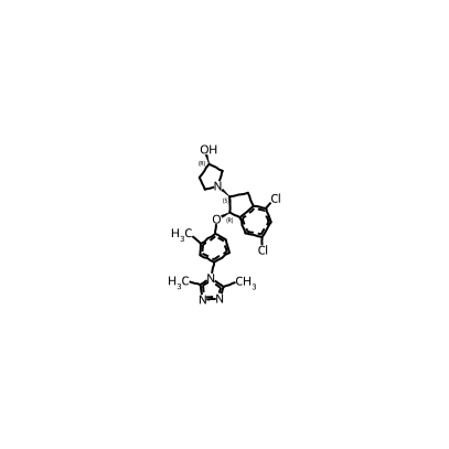 Cc1cc(-n2c(C)nnc2C)ccc1O[C@@H]1c2cc(Cl)cc(Cl)c2C[C@@H]1N1CC[C@@H](O)C1